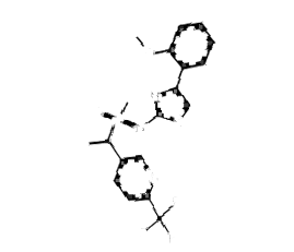 COc1ccccc1-c1csc(N=S(C)(=O)C(C)c2ccc(C(F)(F)F)nc2)n1